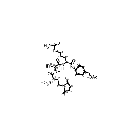 CC(=O)OCc1ccc(NC(=O)[C@H](CCCNC(N)=O)NC(=O)[C@@H](NC(=O)[C@H](CCN2C(=O)C=CC2=O)S(=O)(=O)O)C(C)C)cc1